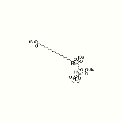 CC(C)(C)OC(=O)CCCCCCCCCCCCCCCCCCC(=O)NC(CCC(=O)N[C@@H](CCC(=O)OC(C)(C)C)C(=O)ON1C(=O)CCC1=O)C(=O)OC(C)(C)C